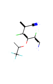 C=C(C#N)/C(Cl)=C(OC(C)C(F)(F)F)\C(Cl)=C/N